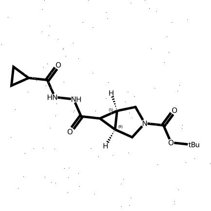 CC(C)(C)OC(=O)N1C[C@@H]2C(C(=O)NNC(=O)C3CC3)[C@@H]2C1